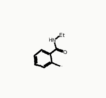 [CH2]c1ccccc1C(=O)NCC